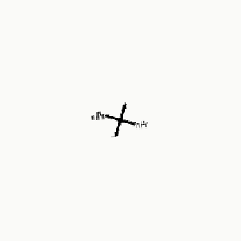 [CH2]C(C)(CCC)CCC